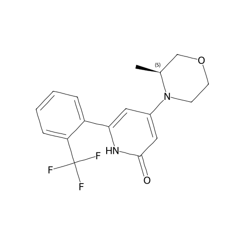 C[C@H]1COCCN1c1cc(-c2ccccc2C(F)(F)F)[nH]c(=O)c1